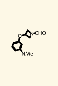 CNc1cccc(OC2CN(C=O)C2)c1